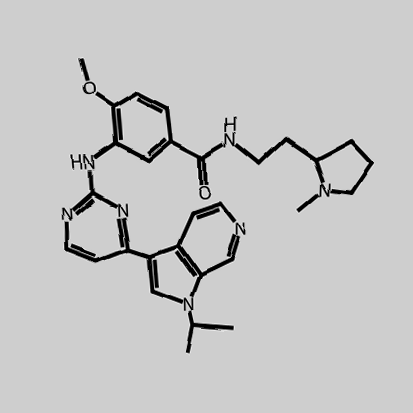 COc1ccc(C(=O)NCCC2CCCN2C)cc1Nc1nccc(-c2cn(C(C)C)c3cnccc23)n1